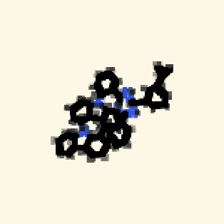 c1ccc(-c2nc(-c3cccc(C4CC4)c3)nc(-c3ccccc3-n3c4cccc5c6cccc7c8ccccc8n(c8cccc3c8c54)c67)n2)cc1